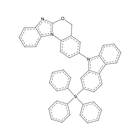 c1ccc([Si](c2ccccc2)(c2ccccc2)c2ccc3c4ccccc4n(-c4ccc5c(c4)COc4nc6ccccc6n4-5)c3c2)cc1